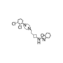 Clc1cccc(N2CCN(CCC3CC(Nc4nc5ccccc5o4)C3)CC2)c1Cl